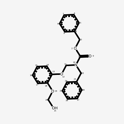 O=C(OCc1ccccc1)N(COc1ccccc1OCO)Cc1ccccc1